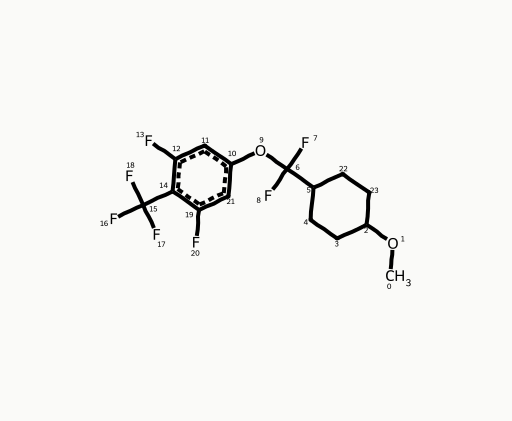 COC1CCC(C(F)(F)Oc2cc(F)c(C(F)(F)F)c(F)c2)CC1